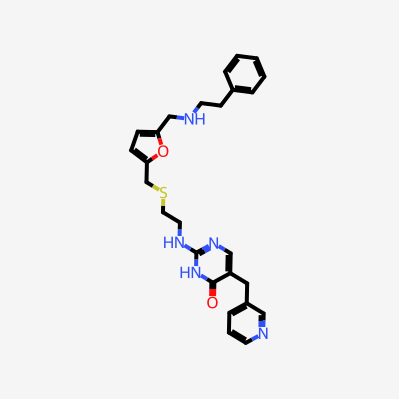 O=c1[nH]c(NCCSCc2ccc(CNCCc3ccccc3)o2)ncc1Cc1cccnc1